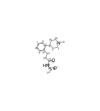 CN1CCC(c2ccccc2CCC(=O)N[S+](C)[O-])CC1